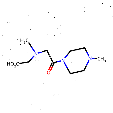 CN1CCN(C(=O)CN(C)CC(=O)O)CC1